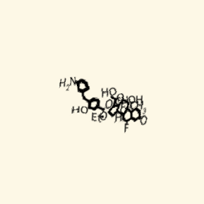 CCO[C@H](O[C@]1(C(=O)CO)CCC2[C@@H]3C[C@H](F)C4=CC(=O)C=C[C@]4(C)[C@@]3(F)[C@@H](O)C[C@@]21C)c1ccc(Cc2cccc(N)c2)c(O)c1